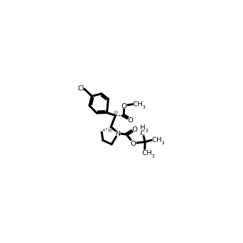 COC(=O)[C@@H](c1ccc(Cl)cc1)[C@H]1CCCN1C(=O)OC(C)(C)C